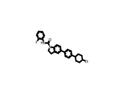 CCC1CCC(c2ccc(-c3ccc4c(c3)CCN4C(=O)Nc3ccccc3F)cc2)CC1